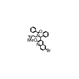 COc1nc2ccc(Br)cc2cc1C(c1ccccc1)N(CCN(C)C)C(=O)c1ccccc1